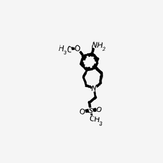 COc1cc2c(cc1N)CCN(CCS(C)(=O)=O)CC2